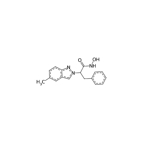 Cc1ccc2nn(C(Cc3ccccc3)C(=O)NO)cc2c1